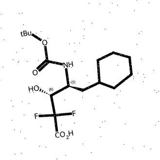 CC(C)(C)OC(=O)N[C@@H](CC1CCCCC1)[C@@H](O)C(F)(F)C(=O)O